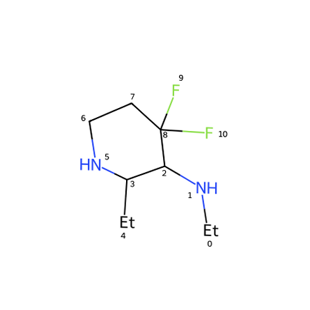 CCNC1C(CC)NCCC1(F)F